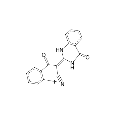 N#C/C(C(=O)c1ccccc1F)=C1\NC(=O)c2ccccc2N1